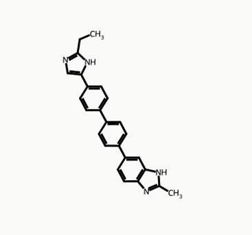 CCc1ncc(-c2ccc(-c3ccc(-c4ccc5nc(C)[nH]c5c4)cc3)cc2)[nH]1